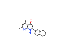 Cc1cc(C)c2c(=O)cc(-c3ccc4ccccc4c3)[nH]c2n1